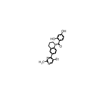 CCc1cnc(C)nc1-c1ccc2c(c1)CCCN2C(=O)c1ccc(O)cc1O